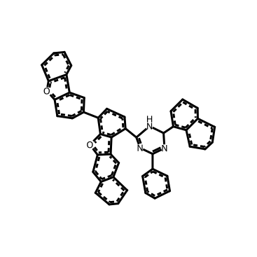 c1ccc(C2=NC(c3cccc4ccccc34)NC(c3ccc(-c4ccc5oc6ccccc6c5c4)c4oc5cc6ccccc6cc5c34)=N2)cc1